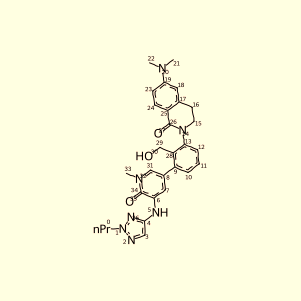 CCCn1ncc(Nc2cc(-c3cccc(N4CCc5cc(N(C)C)ccc5C4=O)c3CO)cn(C)c2=O)n1